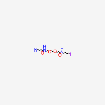 CN(C)CCCC(=O)NCCOCCOCCC(=O)NCCCCI